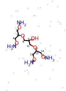 NOCC(CON)OCC(O)COC(CON)CON